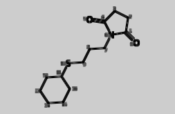 O=C1CCC(=O)N1CCCSC1CCCCC1